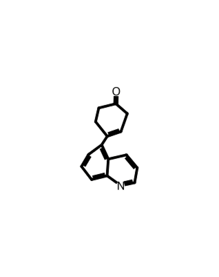 O=C1CC=C(c2cccc3ncccc23)CC1